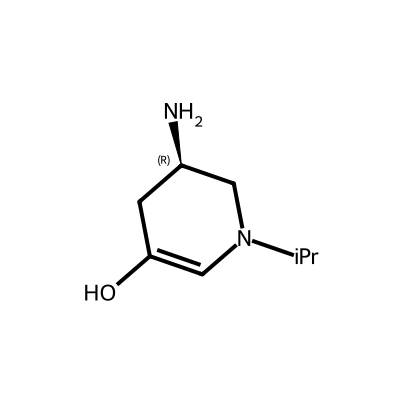 CC(C)N1C=C(O)C[C@@H](N)C1